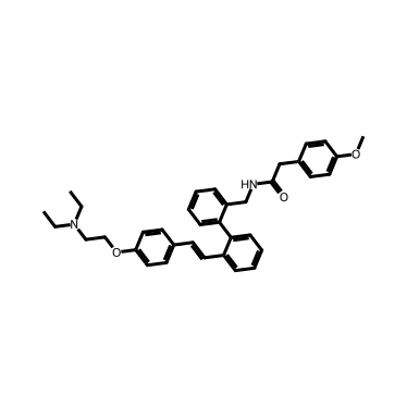 CCN(CC)CCOc1ccc(/C=C/c2ccccc2-c2ccccc2CNC(=O)Cc2ccc(OC)cc2)cc1